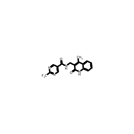 Cc1c(CNC(=O)c2cnc(C(F)(F)F)nc2)c(=O)[nH]c2ccccc12